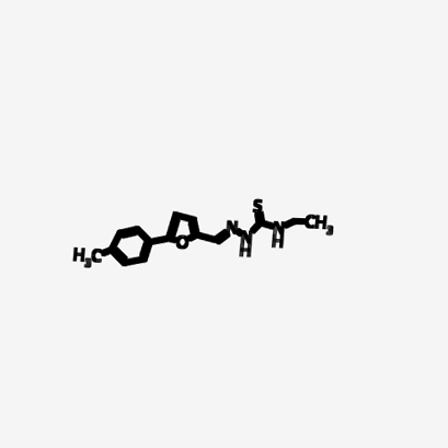 CCNC(=S)N/N=C/c1ccc(-c2ccc(C)cc2)o1